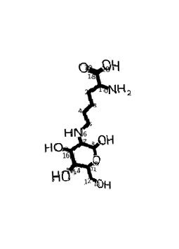 NC(CCCCNC1C(O)OC(CO)C(O)C1O)C(=O)O